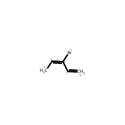 C=C/C(Br)=C\C